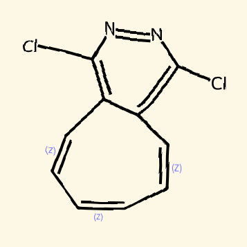 Clc1nnc(Cl)c2c1\C=C/C=C\C=C/2